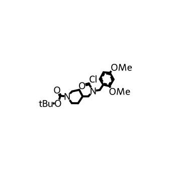 COc1ccc(CN(CC2CCN(C(=O)OC(C)(C)C)CC2)C(=O)Cl)c(OC)c1